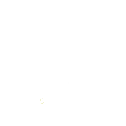 [c]1ccc(-c2csc3ccccc23)cc1